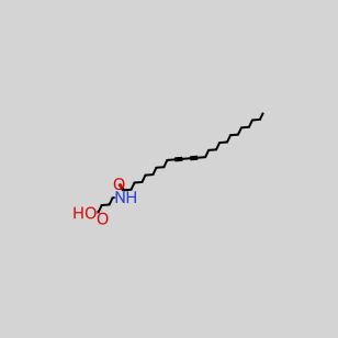 CCCCCCCCCCCCC#CC#CCCCCCCCCC(=O)NCCCC(=O)O